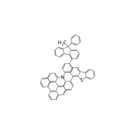 CC1(c2ccccc2)c2ccccc2-c2c(-c3ccc(N(c4ccccc4-c4cccc5c4sc4ccccc45)c4ccccc4-c4cccc5cccc(-c6ccccc6)c45)cc3)cccc21